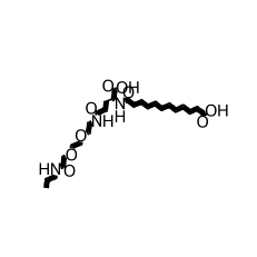 CCCNC(=O)COCCOCCNC(=O)CC[C@H](NC(=O)CCCCCCCCCCC(=O)O)C(=O)O